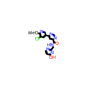 COc1ncc(-c2cc(C(=O)NCc3nccc(O)n3)ncn2)cc1Cl